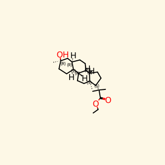 CCOC(=O)C(C)(C)[C@H]1CC[C@H]2[C@@H]3CC[C@@H]4C[C@](C)(O)CC[C@@H]4[C@H]3CC[C@]12C